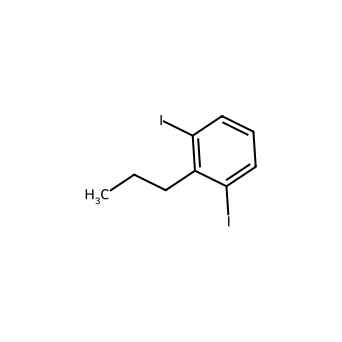 CCCc1c(I)cccc1I